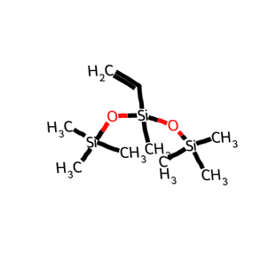 C=C[Si](C)(O[Si](C)(C)C)O[Si](C)(C)C